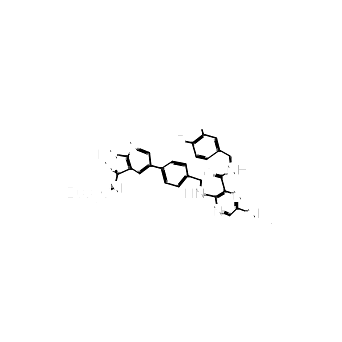 CCOC(=O)Nc1n[nH]c2ncc(-c3ccc(CNc4ncc(N)nc4C(=O)N[C@@H](C)c4ccc(F)c(F)c4)cc3)cc12